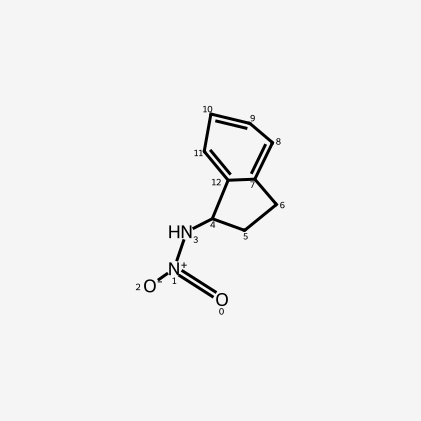 O=[N+]([O-])NC1CCc2ccccc21